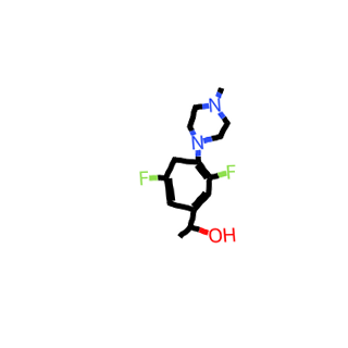 CC(O)C1=CC(F)=C(N2CCN(C)CC2)CC(F)=C1